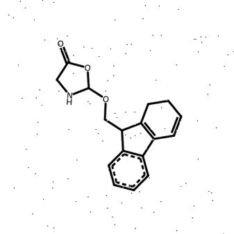 O=C1CNC(OCC2C3=C(C=CCC3)c3ccccc32)O1